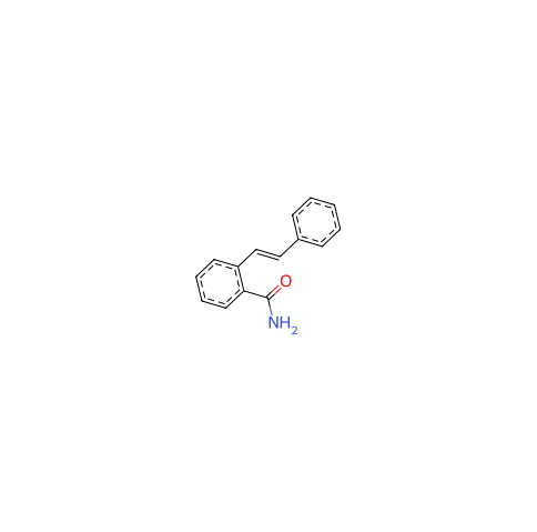 NC(=O)c1ccccc1C=Cc1ccccc1